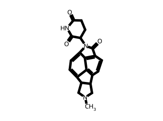 CN1CC2c3ccc4c5c(ccc(c35)C2C1)N(C1CCC(=O)NC1=O)C4=O